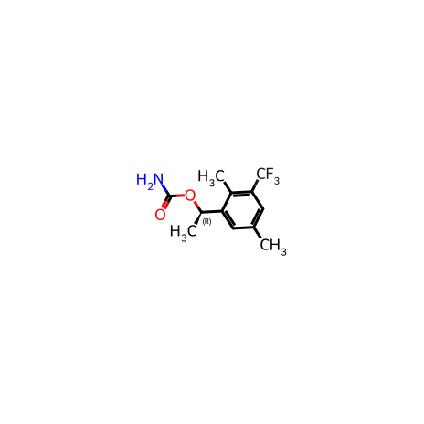 Cc1cc([C@@H](C)OC(N)=O)c(C)c(C(F)(F)F)c1